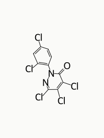 O=c1c(Cl)c(Cl)c(Cl)nn1-c1ccc(Cl)cc1Cl